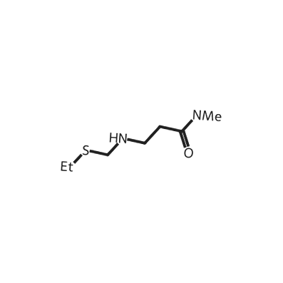 CCSCNCCC(=O)NC